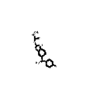 C=C(c1ccc(F)cc1)c1ccc2[nH]c(OC(=O)NC)nc2c1